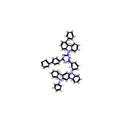 c1ccc(-c2ccc(-c3nc(-c4cccc(-n5c6ccccc6c6cc7c(cc65)c5ccccc5n7-c5ccccc5)c4)nc(-n4c5ccccc5c5c(-c6ccccc6)cccc54)n3)cc2)cc1